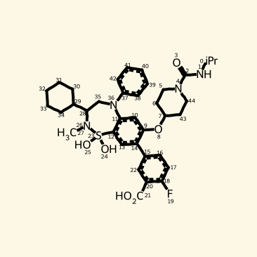 CC(C)NC(=O)N1CCC(Oc2cc3c(cc2-c2ccc(F)c(C(=O)O)c2)S(O)(O)N(C)C(C2CCCCC2)CN3c2ccccc2)CC1